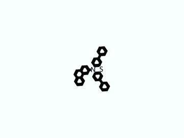 c1ccc(-c2ccc3c(c2)Sc2cc(-c4ccccc4)ccc2N3c2ccc3ccc4ccccc4c3c2)cc1